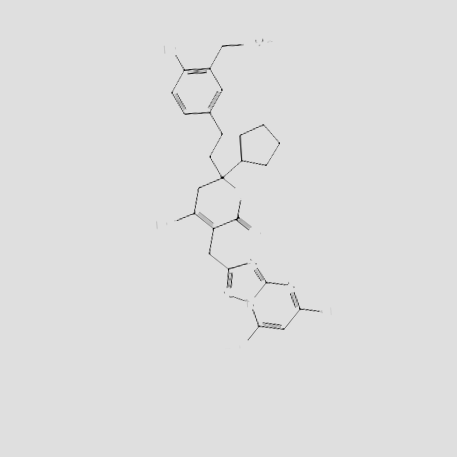 COCc1cc(CCC2(C3CCCC3)CC(O)=C(Cc3nc4nc(C)cc(C)n4n3)C(=O)O2)ccc1O